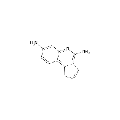 Nc1ccc2c(c1)nc(N)c1ccsc12